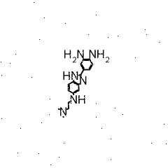 CN(C)CCNc1ccc2[nH]c(-c3ccc(N)c(N)c3)nc2c1